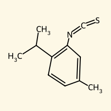 Cc1ccc(C(C)C)c(N=C=S)c1